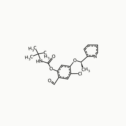 C[C@@H](Oc1cc(OC(=O)NC(C)(C)C)c(C=O)cc1Cl)c1ccccn1